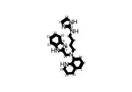 c1cc2c(c(N(CCCCNc3ncc[nH]3)Cc3nc4ccccc4[nH]3)c1)NCCC2